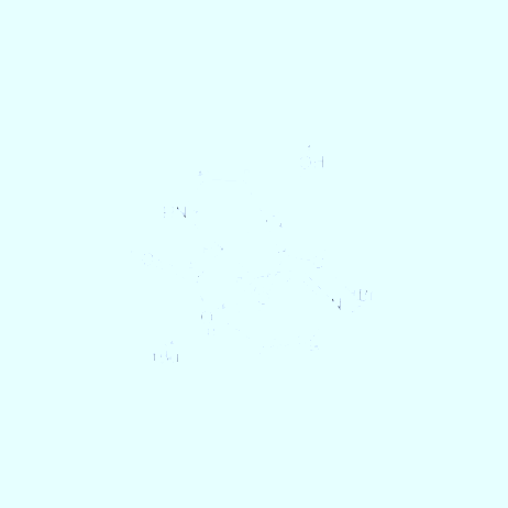 CC(C)(C)OC(=O)C1(CO)CCNC1(C(=O)OC(C)(C)C)c1cccnc1